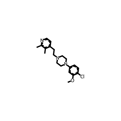 COc1cc(N2CCN(CCc3ccnc(C)c3C)CC2)ccc1Cl